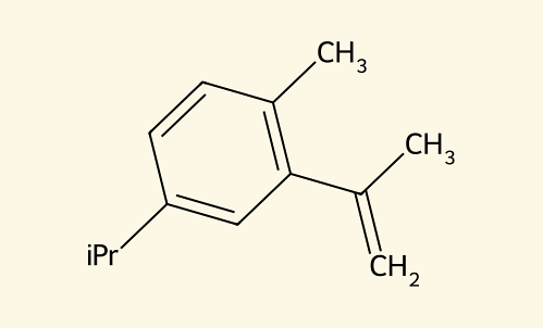 C=C(C)c1cc(C(C)C)ccc1C